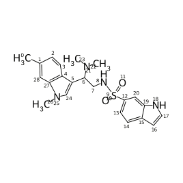 Cc1ccc2c(C(CNS(=O)(=O)c3ccc4cc[nH]c4c3)N(C)C)cn(C)c2c1